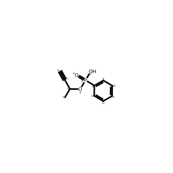 C#CC(C)OP(=O)(O)c1ccccc1